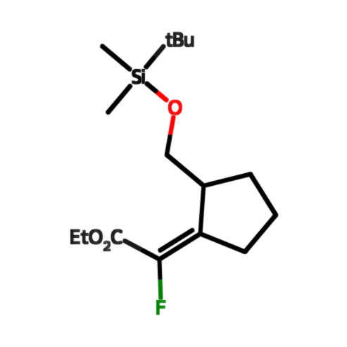 CCOC(=O)C(F)=C1CCCC1CO[Si](C)(C)C(C)(C)C